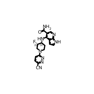 N#Cc1ccc(N2CC[C@H](Nc3c(C(N)=O)cnc4[nH]ccc34)[C@@H](F)C2)nn1